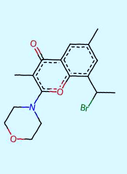 Cc1cc(C(C)Br)c2oc(N3CCOCC3)c(C)c(=O)c2c1